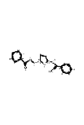 O=C(OC[C@@H]1CC[C@@H](OC(=O)c2ccccc2)O1)c1ccccc1